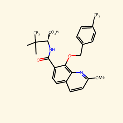 COc1ccc2ccc(C(=O)N[C@H](C(=O)O)C(C)(C)C(F)(F)F)c(OCc3ccc(C(F)(F)F)cc3)c2n1